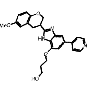 COc1ccc2c(c1)CC(c1nc3cc(-c4ccncc4)cc(OCCCO)c3[nH]1)CO2